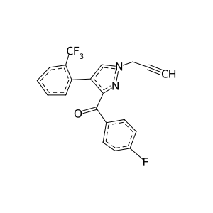 C#CCn1cc(-c2ccccc2C(F)(F)F)c(C(=O)c2ccc(F)cc2)n1